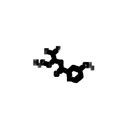 COC(OC(=O)c1cc(C)ccn1)C(F)F